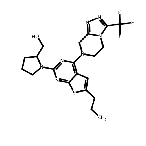 CCCc1cc2c(N3CCn4c(nnc4C(F)(F)F)C3)nc(N3CCCC3CO)nc2s1